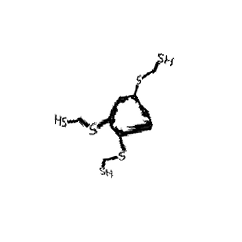 SCSc1ccc(SCS)c(SCS)c1